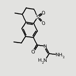 CCc1cc2c(cc1C(=O)N=C(N)N)S(=O)(=O)CCC2C